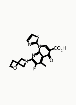 Cc1c(F)c(N2CC3(CCO3)C2)nc2c1c(=O)c(C(=O)O)cn2-c1nccs1